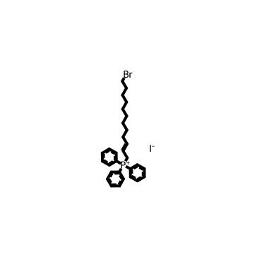 BrCCCCCCCCCC=CC[P+](c1ccccc1)(c1ccccc1)c1ccccc1.[I-]